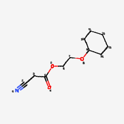 N#CCC(=O)OCCOC1CCCCC1